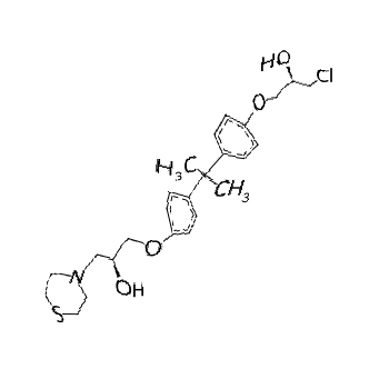 CC(C)(c1ccc(OC[C@@H](O)CN2CCSCC2)cc1)c1ccc(OC[C@@H](O)CCl)cc1